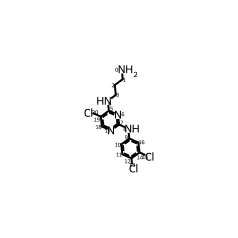 NCCCNc1nc(Nc2ccc(Cl)c(Cl)c2)ncc1Cl